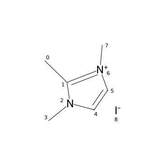 Cc1n(C)cc[n+]1C.[I-]